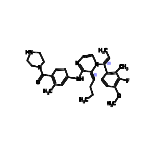 C/C=C(/c1ccc(OC)c(F)c1C)N1C=CN=C(Nc2ccc(C(=O)N3CCNCC3)c(C)c2)/C1=C\CCC